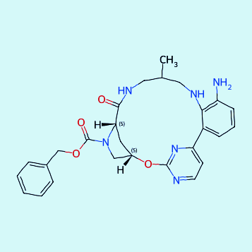 CC1CNC(=O)[C@@H]2C[C@@H](CN2C(=O)OCc2ccccc2)Oc2nccc(n2)-c2cccc(N)c2NC1